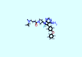 CN(C/C=C/C(=O)N1CC[C@@H](n2c(F)c(-c3ccc(Oc4ccccc4)cc3)c3c(N)ncnc32)C1)C1CC1